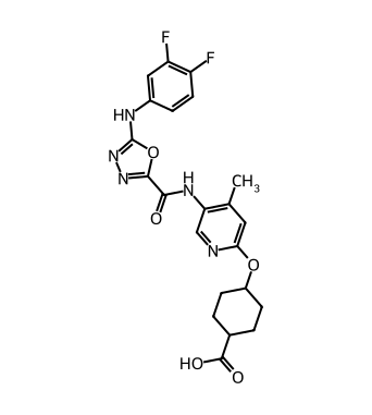 Cc1cc(OC2CCC(C(=O)O)CC2)ncc1NC(=O)c1nnc(Nc2ccc(F)c(F)c2)o1